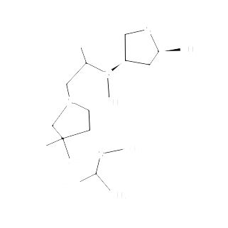 CC(CN1C[C@H](N(C)C(C)C)C(C)(C)C1)N(C)[C@H]1CN[C@@H](C)C1